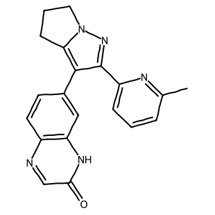 Cc1cccc(-c2nn3c(c2-c2ccc4ncc(=O)[nH]c4c2)CCC3)n1